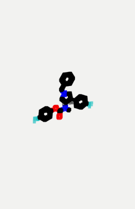 CN(C(=O)Oc1ccc(F)cc1)[C@@H]1CN(Cc2ccccc2)C[C@H]1c1ccc(F)cc1